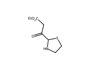 CCOC(=O)CC(=O)C1NCCS1